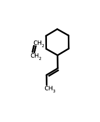 C/C=C/C1CCCCC1.C=C